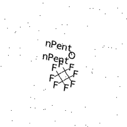 CCCCCOCCCCC.FC1(F)C(F)(F)C(F)(F)C1(F)F